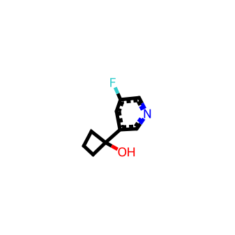 OC1(c2cncc(F)c2)CCC1